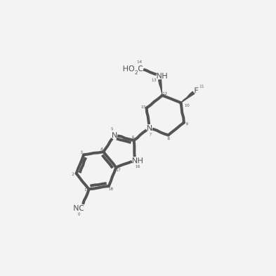 N#Cc1ccc2nc(N3CC[C@H](F)[C@H](NC(=O)O)C3)[nH]c2c1